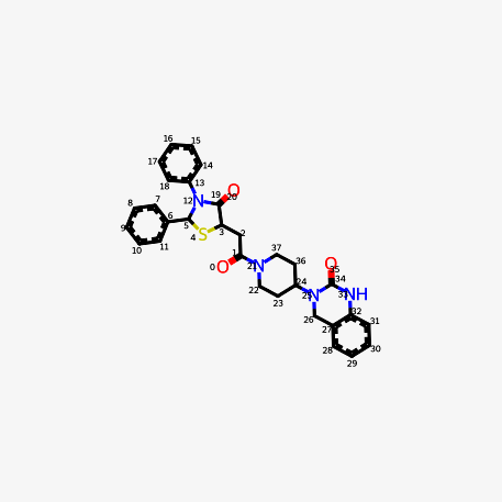 O=C(CC1SC(c2ccccc2)N(c2ccccc2)C1=O)N1CCC(N2Cc3ccccc3NC2=O)CC1